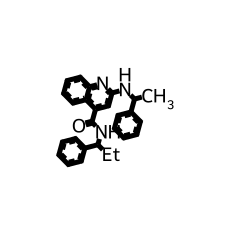 CCC(NC(=O)c1cc(NC(C)c2ccccc2)nc2ccccc12)c1ccccc1